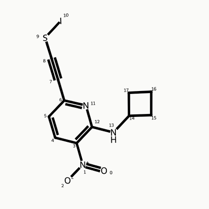 O=[N+]([O-])c1ccc(C#CSI)nc1NC1CCC1